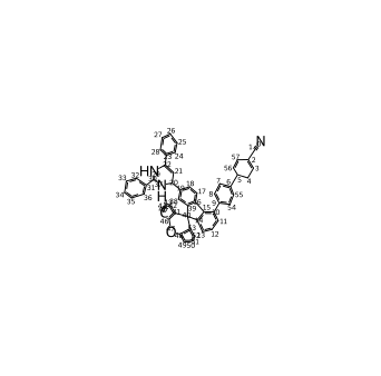 N#CC1=CCC(c2ccc(-c3cccc4c3-c3ccc(C5C=C(c6ccccc6)NC(c6ccccc6)N5)cc3C43c4ccccc4Oc4ccccc43)cc2)C=C1